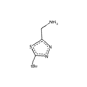 CC(C)(C)c1nnc(CN)s1